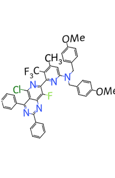 COc1ccc(CN(Cc2ccc(OC)cc2)c2cc(C)c(C(F)(F)F)c(-c3nc(Cl)c4c(-c5ccccc5)nc(-c5ccccc5)nc4c3F)n2)cc1